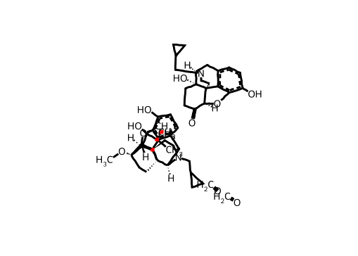 C=O.C=O.CO[C@@]12CC[C@@]3(C[C@@H]1[C@](C)(O)C(C)(C)C)[C@H]1Cc4ccc(O)c5c4[C@@]3(CCN1CC1CC1)[C@H]2O5.O=C1CC[C@@]2(O)[C@H]3Cc4ccc(O)c5c4[C@@]2(CCN3CC2CC2)[C@H]1O5